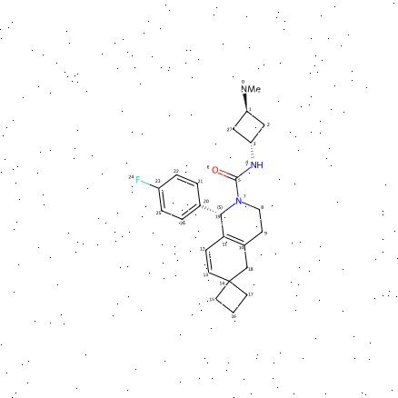 CN[C@H]1C[C@H](NC(=O)N2CCC3=C(C=CC4(CCC4)C3)[C@@H]2c2ccc(F)cc2)C1